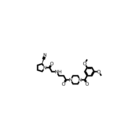 COc1cc(OC)cc(C(=O)N2CCN(C(=O)CCNCC(=O)N3CCC[C@H]3C#N)CC2)c1